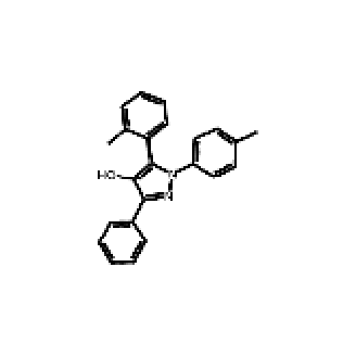 Cc1ccc(-n2nc(-c3ccccc3)c(O)c2-c2ccccc2C)cc1